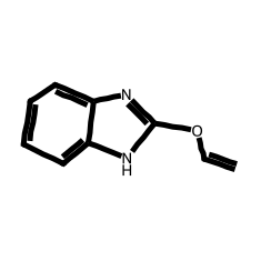 C=COc1nc2ccccc2[nH]1